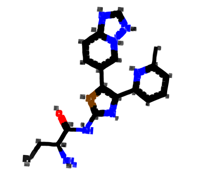 Cc1cccc(-c2nc(NC(=O)[C@@H](N)CC(C)C)sc2-c2ccc3ncnn3c2)n1